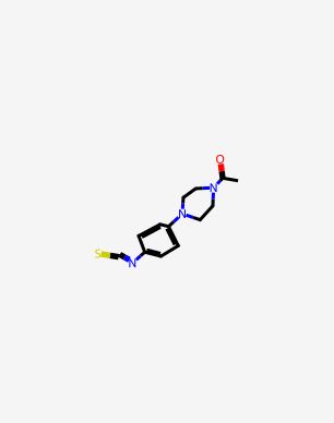 CC(=O)N1CCN(c2ccc(N=C=S)cc2)CC1